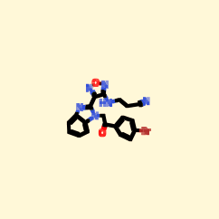 N#CCCNc1nonc1-c1nc2ccccc2n1CC(=O)c1ccc(Br)cc1